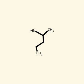 CCCC(C)[NH]